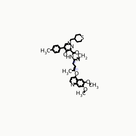 C=N/C(=C\C=C(/C)Oc1ccnc2cc(OC)c(OC)cc12)NC(=O)c1nn(CC2CCSCC2)cc(-c2ccc(C)cc2)c1=O